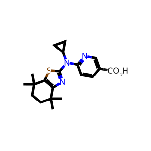 CC1(C)CCC(C)(C)c2sc(N(c3ccc(C(=O)O)cn3)C3CC3)nc21